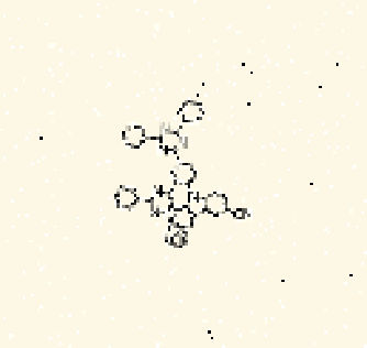 N#Cc1ccc2c(c1)c1cc(C#N)ccc1n2-c1ccc(-c2nc(-c3ccccc3)nc(-c3ccccc3)n2)cc1-c1cc(-c2ccccc2)nc(-c2ccccc2)n1